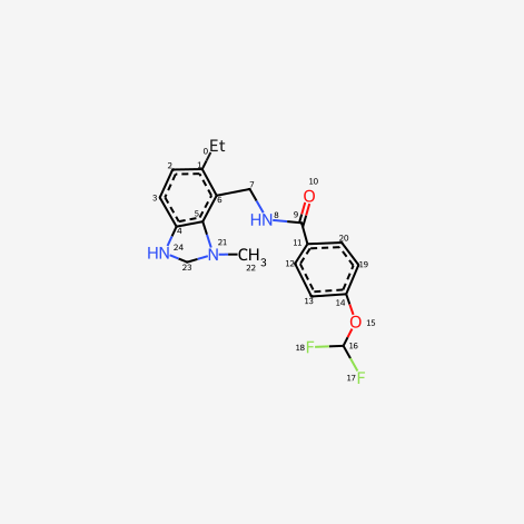 CCc1ccc2c(c1CNC(=O)c1ccc(OC(F)F)cc1)N(C)CN2